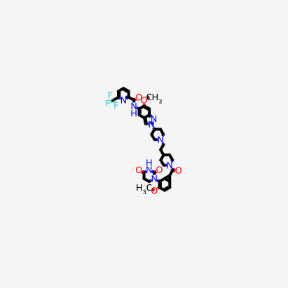 COC1=C(N2CCC(=O)NC2=O)C2C(C=C1)C2C(=O)N1CCC(CCN2CCC(n3cc4cc(NC(=O)c5cccc(C(F)(F)F)n5)c(OC)cc4n3)CC2)CC1